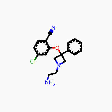 N#Cc1ccc(Cl)cc1OC1(c2ccccc2)CN(CCN)C1